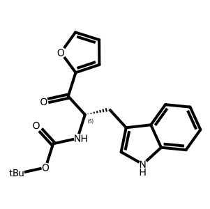 CC(C)(C)OC(=O)N[C@@H](Cc1c[nH]c2ccccc12)C(=O)c1ccco1